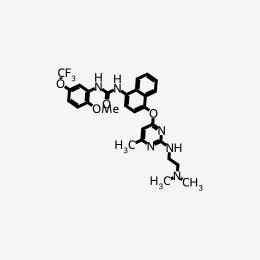 COc1ccc(OC(F)(F)F)cc1NC(=O)Nc1ccc(Oc2cc(C)nc(NCCN(C)C)n2)c2ccccc12